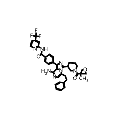 CC1(C(=O)N2CCCC(c3nc(-c4ccc(C(=O)Nc5cc(C(F)(F)F)ccn5)cc4)c4c(N)ncc(CCc5ccccc5)n34)C2)COC1